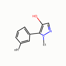 CCCc1cccc(-c2c(O)cnn2CC)c1